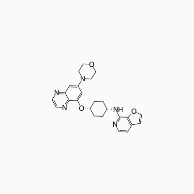 c1cc2ccoc2c(N[C@H]2CC[C@@H](Oc3cc(N4CCOCC4)cc4nccnc34)CC2)n1